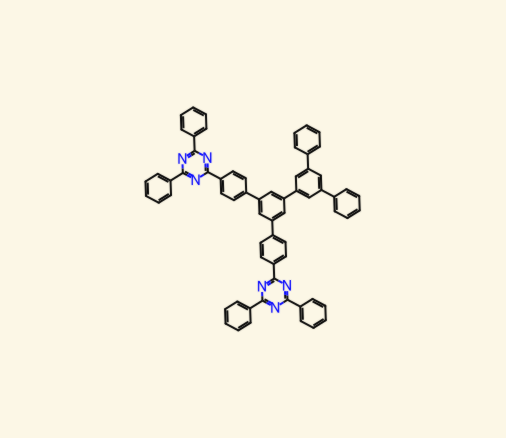 c1ccc(-c2cc(-c3ccccc3)cc(-c3cc(-c4ccc(-c5nc(-c6ccccc6)nc(-c6ccccc6)n5)cc4)cc(-c4ccc(-c5nc(-c6ccccc6)nc(-c6ccccc6)n5)cc4)c3)c2)cc1